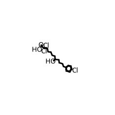 O=C(O)C(Cl)(Cl)CCCCCC(O)CCCCc1ccc(Cl)cc1